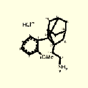 COc1ccccc1C1C2CC3CC(C2)CC1(CCN)C3.Cl